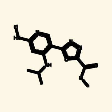 COC(=O)c1nnc(-c2cnc(NCl)cc2NC(C)C)o1